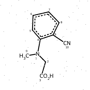 CN(CC(=O)O)c1ccccc1C#N